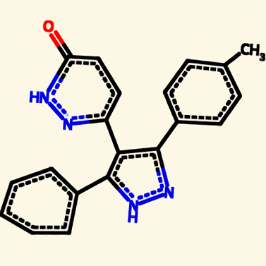 Cc1ccc(-c2n[nH]c(-c3ccccc3)c2-c2ccc(=O)[nH]n2)cc1